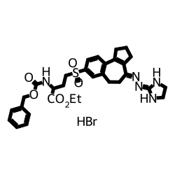 Br.CCOC(=O)C(CCS(=O)(=O)c1ccc2c(c1)CCC(=NN=C1NCCN1)C1=C2CCC1)NC(=O)OCc1ccccc1